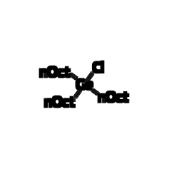 CCCCCCC[CH2][Ge]([Cl])([CH2]CCCCCCC)[CH2]CCCCCCC